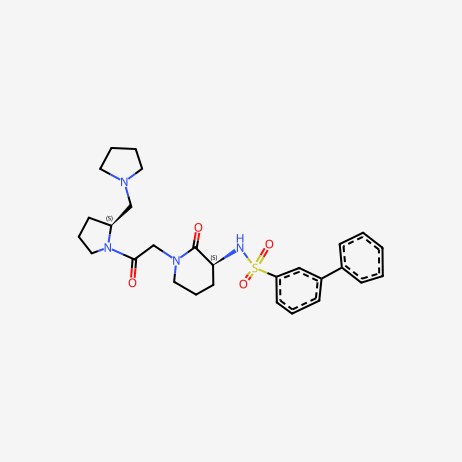 O=C1[C@@H](NS(=O)(=O)c2cccc(-c3ccccc3)c2)CCCN1CC(=O)N1CCC[C@H]1CN1CCCC1